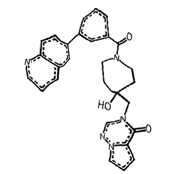 O=C(c1cccc(-c2ccc3ncccc3c2)c1)N1CCC(O)(Cn2cnn3cccc3c2=O)CC1